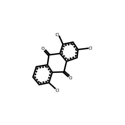 O=C1c2cc(Cl)cc(Cl)c2C(=O)c2cccc(Cl)c21